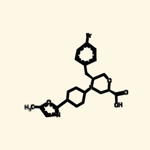 Cc1cnc(C2CCC(N3C[C@H](C(=O)O)OC[C@@H]3Cc3ccc(Br)cc3)CC2)o1